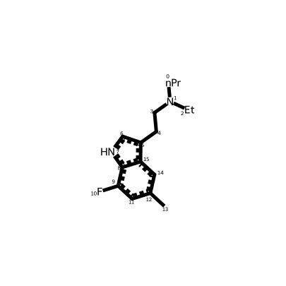 CCCN(CC)CCc1c[nH]c2c(F)cc(C)cc12